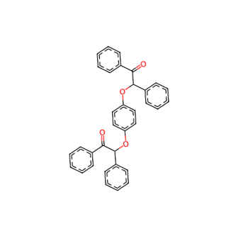 O=C(c1ccccc1)C(Oc1ccc(OC(C(=O)c2ccccc2)c2ccccc2)cc1)c1ccccc1